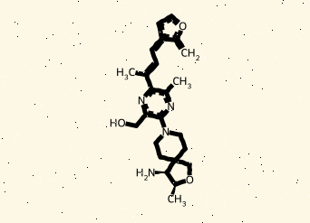 C=c1occ/c1=C/C=C(\C)c1nc(CO)c(N2CCC3(CC2)CO[C@@H](C)[C@H]3N)nc1C